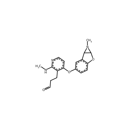 CNc1nccc(Oc2ccc3c(c2)C2C(O3)N2C)c1CCC=O